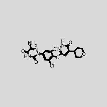 Nc1nn(-c2cc(Cl)c(Oc3cc(C4CCOCC4)c(=O)[nH]n3)c(Cl)c2)c(=O)[nH]c1=O